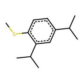 CSc1ccc(C(C)C)cc1C(C)C